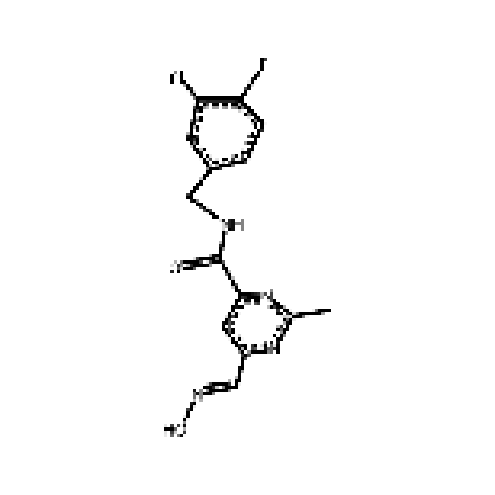 Cc1nc(/C=N/O)cc(C(=O)NCc2ccc(F)c(Cl)c2)n1